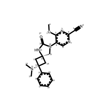 COc1nc(C#N)ncc1N1C[C@]2(C[C@@](c3ccccc3)(N(C)C)C2)NC1=O